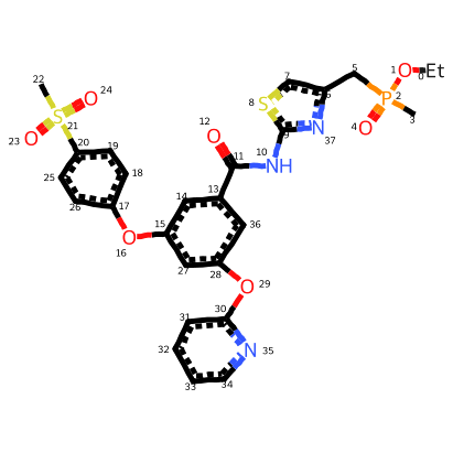 CCOP(C)(=O)Cc1csc(NC(=O)c2cc(Oc3ccc(S(C)(=O)=O)cc3)cc(Oc3ccccn3)c2)n1